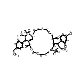 CCc1ccc(C2C3=CN(CCCCCOC(=O)C4=CN(CCCCCOC3=O)S(=O)(=O)N(C)C4c3ccc(Cl)cc3Cl)S(=O)(=O)N2C)c(Cl)c1